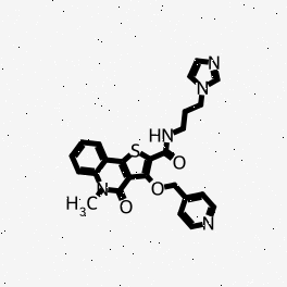 Cn1c(=O)c2c(OCc3ccncc3)c(C(=O)NCCCn3ccnc3)sc2c2ccccc21